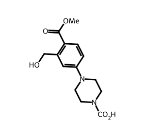 COC(=O)c1ccc(N2CCN(C(=O)O)CC2)cc1CO